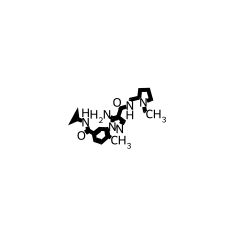 CCN1CCCC1CNC(=O)c1cnn(-c2cc(C(=O)NC3CC3)ccc2C)c1N